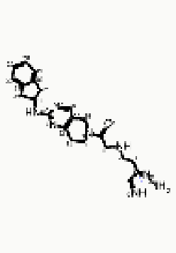 N=C/C(CCNCC(=O)N1CCc2nc(NC3Cc4ccccc4C3)ncc2C1)=N\N